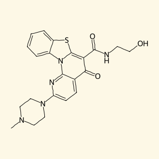 CN1CCN(c2ccc3c(=O)c(C(=O)NCCO)c4sc5ccccc5n4c3n2)CC1